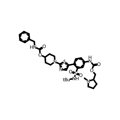 CN1CCCC1COC(=O)Nc1ccc(-c2cnc(N3CCC(OC(=O)NCc4ccccc4)CC3)s2)c(S(=O)(=O)NC(C)(C)C)c1